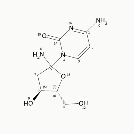 Nc1ccn(C2(N)C[C@H](O)[C@@H](CO)O2)c(=O)n1